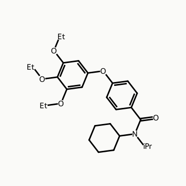 CCOc1cc(Oc2ccc(C(=O)N(C(C)C)C3CCCCC3)cc2)cc(OCC)c1OCC